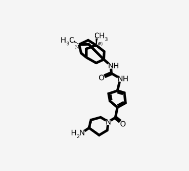 C[C@]12CC3CC(NC(=O)Nc4ccc(C(=O)N5CCC(N)CC5)cc4)(C1)C[C@@](C)(C3)C2